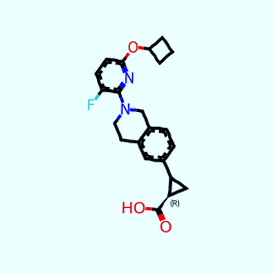 O=C(O)[C@@H]1CC1c1ccc2c(c1)CCN(c1nc(OC3CCC3)ccc1F)C2